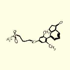 Cc1cc(OCCCS(C)(=O)=O)cc(C)c1-c1cccc2c1CCC2=O